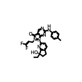 CC[C@@]1(O)CCc2ccc(-n3c4nc(Nc5ccc(C)cc5)ncc4c(=O)n3CC=C(F)F)nc21